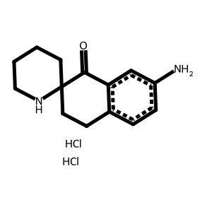 Cl.Cl.Nc1ccc2c(c1)C(=O)C1(CCCCN1)CC2